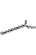 B#S(=BB=BB=BB=B)C(C)CCC